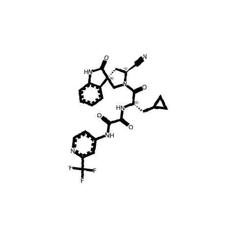 N#C[C@@H]1C[C@@]2(CN1C(=O)[C@H](CC1CC1)NC(=O)C(=O)Nc1ccnc(C(F)(F)F)c1)C(=O)Nc1ccccc12